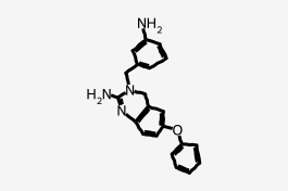 NC1=Nc2ccc(Oc3ccccc3)cc2CN1Cc1cccc(N)c1